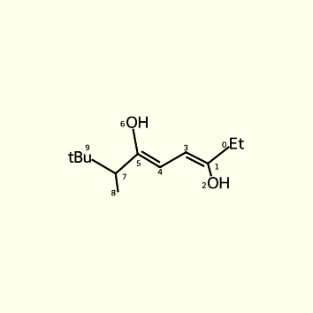 CCC(O)=CC=C(O)C(C)C(C)(C)C